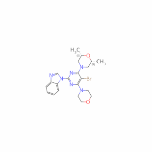 C[C@@H]1CN(c2nc(-n3cnc4ccccc43)nc(N3CCOCC3)c2Br)C[C@H](C)O1